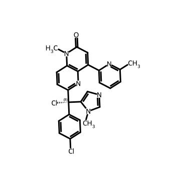 Cc1cccc(-c2cc(=O)n(C)c3ccc([C@](Cl)(c4ccc(Cl)cc4)c4cncn4C)nc23)n1